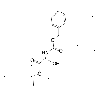 CCOC(=O)C(O)NC(=O)OCc1ccccc1